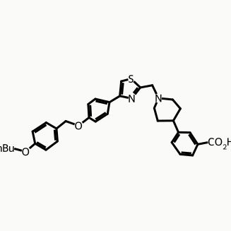 CCCCOc1ccc(COc2ccc(-c3csc(CN4CCC(c5cccc(C(=O)O)c5)CC4)n3)cc2)cc1